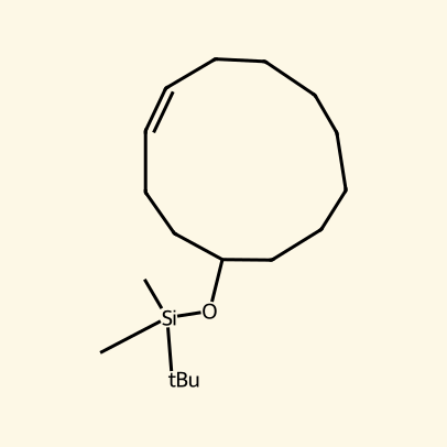 CC(C)(C)[Si](C)(C)OC1CCC=CCCCCCCC1